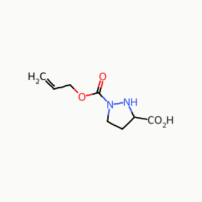 C=CCOC(=O)N1CCC(C(=O)O)N1